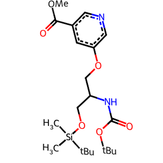 COC(=O)c1cncc(OCC(CO[Si](C)(C)C(C)(C)C)NC(=O)OC(C)(C)C)c1